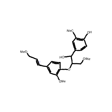 COC/C=C/c1ccc(OC(COC)C(O)c2ccc(O)c(OC)c2)c(OC)c1